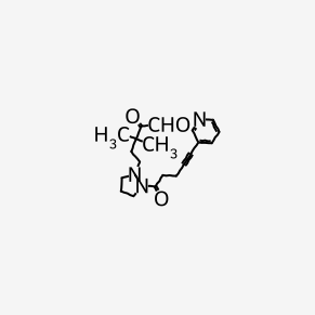 CC(C)(CCN1CCCN1C(=O)CCC#Cc1cccnc1)C(=O)C=O